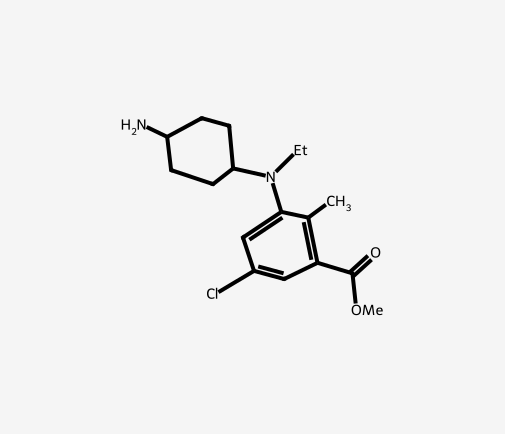 CCN(c1cc(Cl)cc(C(=O)OC)c1C)C1CCC(N)CC1